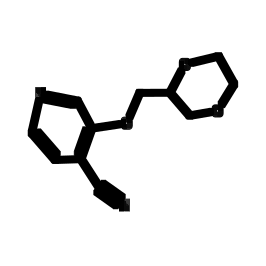 N#Cc1ccncc1OCC1COCCO1